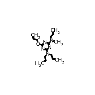 C=CCOc1nc(N(C)CC=C)nc(N(CC=C)CC=C)n1